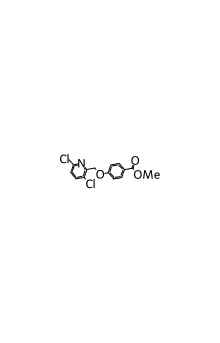 COC(=O)c1ccc(OCc2nc(Cl)ccc2Cl)cc1